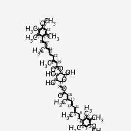 COc1cc(C)c(/C=C/C(C)=C/C=C/C(C)=C/C(=O)OC[C@H]2O[C@H](O)[C@H](OC(=O)/C=C(C)/C=C/C=C(C)/C=C/c3c(C)cc(OC)c(C)c3C)[C@@H](O)[C@@H]2O)c(C)c1C